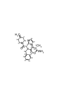 C[C@H](C(N)=O)N(C(=O)C(CC(=O)N1CCN(C)CC1)Cc1ccccc1)n1ccnc1